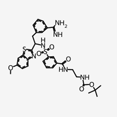 COc1ccc2nc(C(Cc3cccc(C(=N)N)c3)NS(=O)(=O)c3cccc(C(=O)NCCNC(=O)OC(C)(C)C)c3)sc2c1